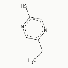 CCc1cnc(S)cn1